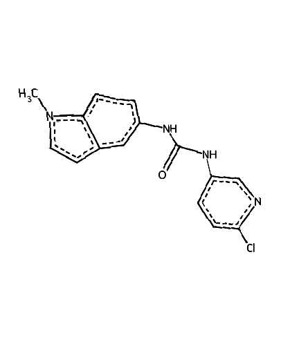 Cn1ccc2cc(NC(=O)Nc3ccc(Cl)nc3)ccc21